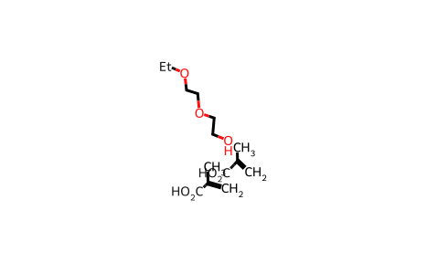 C=C(C)C(=O)O.C=C(C)C(=O)O.CCOCCOCCO